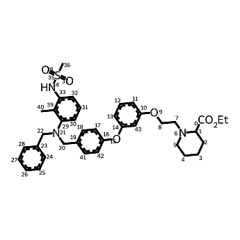 CCOC(=O)C1CCCCN1CCOc1cccc(Oc2ccc(CN(Cc3ccccc3)c3cccc(NS(C)(=O)=O)c3C)cc2)c1